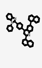 c1ccc(-n2c(-c3ccc(-c4cc(-c5cccc6ccccc56)nc5ccc(-c6cccc7ccccc67)cc45)cc3)nc3ccccc32)cc1